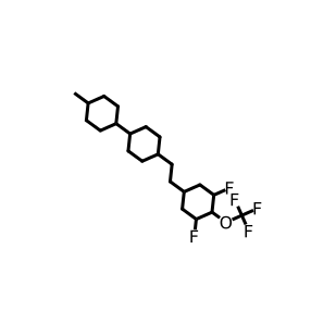 CC1CCC(C2CCC(CCC3CC(F)C(OC(F)(F)F)C(F)C3)CC2)CC1